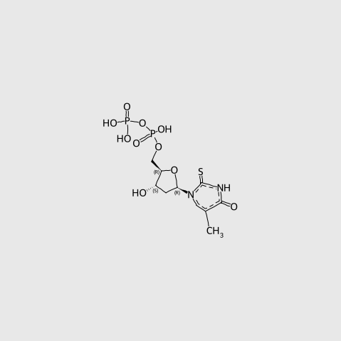 Cc1cn([C@H]2C[C@H](O)[C@@H](COP(=O)(O)OP(=O)(O)O)O2)c(=S)[nH]c1=O